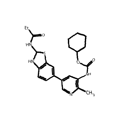 CCC(=O)NC1Nc2ccc(-c3cnc(C)c(NC(=O)OC4CCCCC4)c3)cc2S1